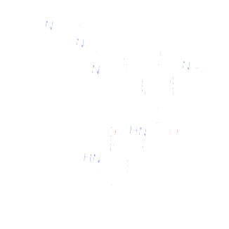 CCCc1cc(C)[nH]c(=O)c1CNC(=O)c1cc(-c2ccc(N3CCN(C)CC3)nc2)c2ccn(C(C)C)c2c1C